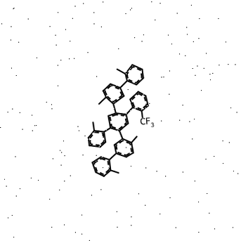 Cc1ccccc1-c1ccc(C)c(-c2cc(-c3ccccc3C(F)(F)F)c(-c3cc(-c4ccccc4C)ccc3C)cc2-c2ccccc2C)c1